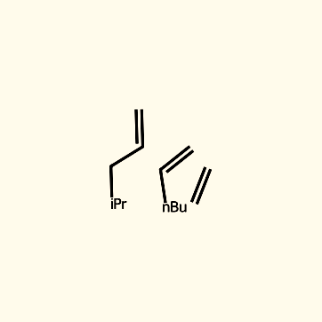 C=C.C=CCC(C)C.C=CCCCC